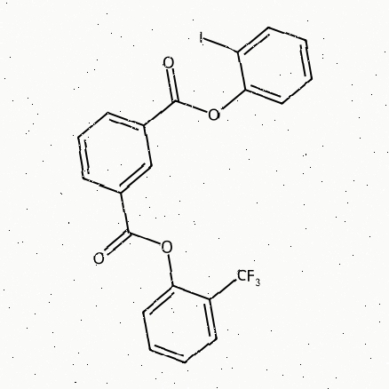 O=C(Oc1ccccc1I)c1cccc(C(=O)Oc2ccccc2C(F)(F)F)c1